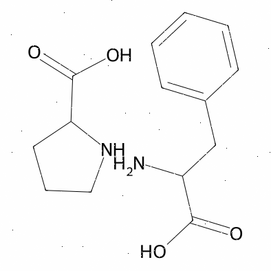 NC(Cc1ccccc1)C(=O)O.O=C(O)C1CCCN1